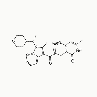 COc1cc(C)[nH]c(=O)c1CNC(=O)c1c(C)n([C@@H](C)C2CCOCC2)c2ncccc12